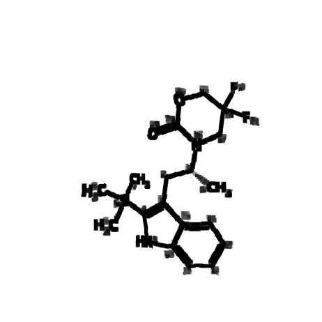 C[C@H](Cc1c([Si](C)(C)C)[nH]c2ccccc12)N1CC(F)(F)COC1=O